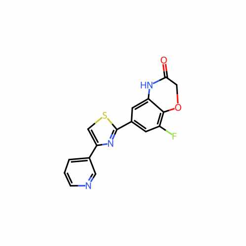 O=C1COc2c(F)cc(-c3nc(-c4cccnc4)cs3)cc2N1